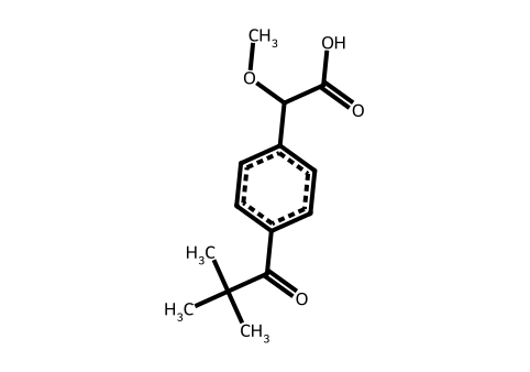 COC(C(=O)O)c1ccc(C(=O)C(C)(C)C)cc1